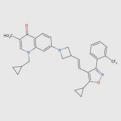 O=C(O)c1cn(CC2CC2)c2cc(N3CC(C=Cc4c(-c5ccccc5C(F)(F)F)noc4C4CC4)C3)ccc2c1=O